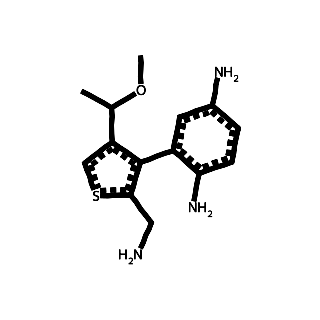 COC(C)c1csc(CN)c1-c1cc(N)ccc1N